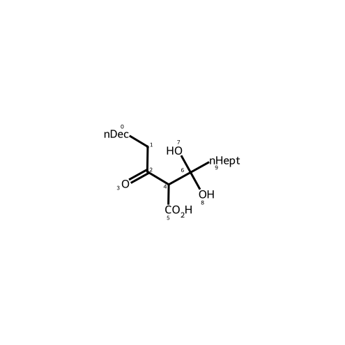 CCCCCCCCCCCC(=O)C(C(=O)O)C(O)(O)CCCCCCC